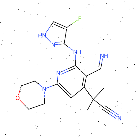 CC(C)(C#N)c1cc(N2CCOCC2)nc(Nc2n[nH]cc2F)c1C=N